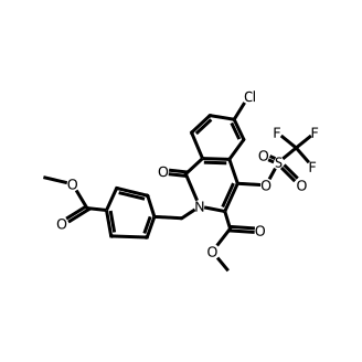 COC(=O)c1ccc(Cn2c(C(=O)OC)c(OS(=O)(=O)C(F)(F)F)c3cc(Cl)ccc3c2=O)cc1